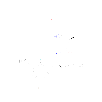 CCOC(=O)C[C@H](NC(=O)[C@H](CC(C)C)NC(=O)OC(C)(C)C)c1cc(Br)cc(C)c1F